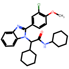 COc1ccc(-c2nc3ccccc3n2C(C(=O)NC2CCCCC2)C2CCCCC2)cc1Cl